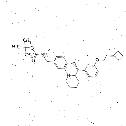 CC(C)(C)OC(=O)NCc1cccc(N2CCCCC2C(=O)c2cccc(OCC=C3CCC3)c2)c1